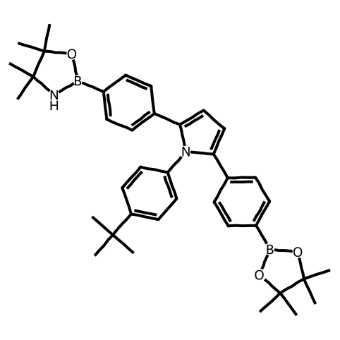 CC(C)(C)c1ccc(-n2c(-c3ccc(B4NC(C)(C)C(C)(C)O4)cc3)ccc2-c2ccc(B3OC(C)(C)C(C)(C)O3)cc2)cc1